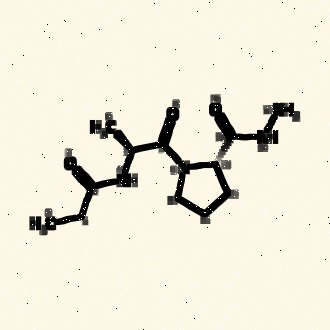 CCC(=O)N[C@@H](C)C(=O)N1CCC[C@H]1C(=O)NN